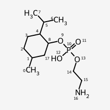 CC1CCC(C(C)C)C(OP(=O)(O)OCCN)C1